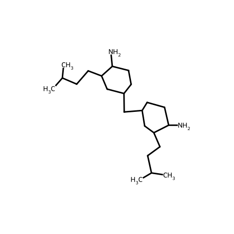 CC(C)CCC1CC(CC2CCC(N)C(CCC(C)C)C2)CCC1N